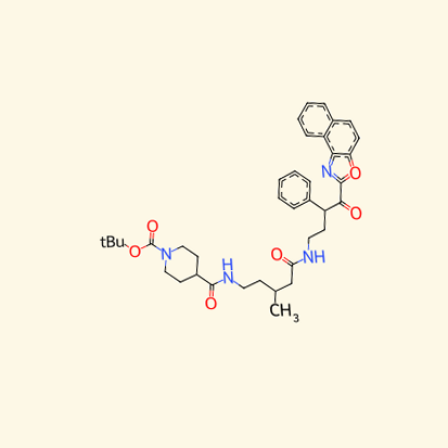 CC(CCNC(=O)C1CCN(C(=O)OC(C)(C)C)CC1)CC(=O)NCCC(C(=O)c1nc2c(ccc3ccccc32)o1)c1ccccc1